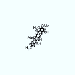 COCCOC(=O)c1c(C)c(OC)cc(O)c1CSCCNC(=O)C(S)c1nc(C)no1